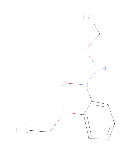 CCONN(Br)c1ccccc1OCC